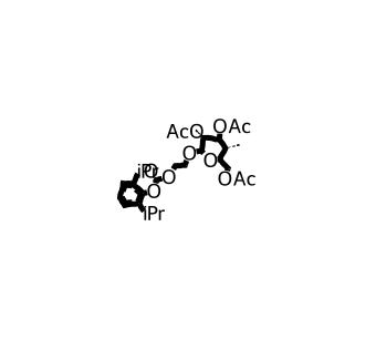 CC(=O)OCC1OC(OCCOC(=O)Oc2c(C(C)C)cccc2C(C)C)[C@H](OC(C)=O)C(OC(C)=O)[C@@H]1C